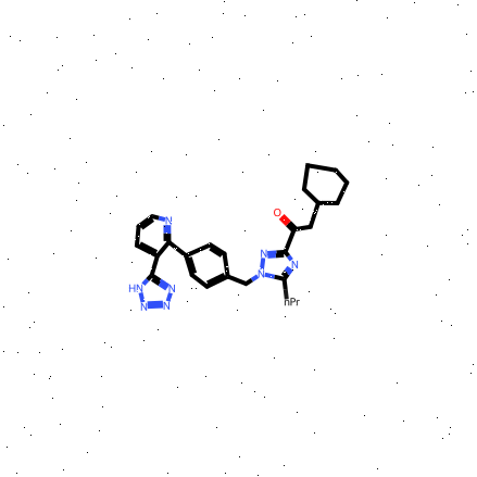 CCCc1nc(C(=O)CC2CCCCC2)nn1Cc1ccc(-c2ncccc2-c2nnn[nH]2)cc1